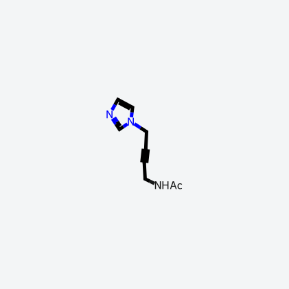 CC(=O)NCC#CCn1ccnc1